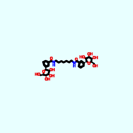 O=C(NCCCCCCCNC(=O)c1cccc([C@H]2O[C@H](CO)[C@@H](O)[C@H](O)[C@@H]2O)c1)c1cccc([C@H]2O[C@H](CO)[C@@H](O)[C@H](O)C2O)c1